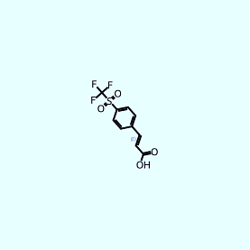 O=C(O)/C=C/c1ccc(S(=O)(=O)C(F)(F)F)cc1